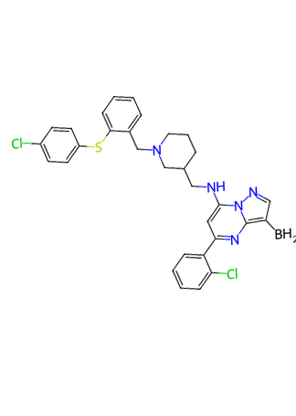 Bc1cnn2c(NCC3CCCN(Cc4ccccc4Sc4ccc(Cl)cc4)C3)cc(-c3ccccc3Cl)nc12